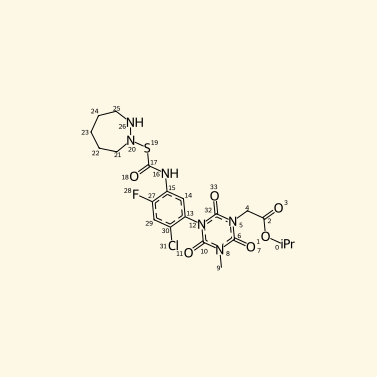 CC(C)OC(=O)Cn1c(=O)n(C)c(=O)n(-c2cc(NC(=O)SN3CCCCCN3)c(F)cc2Cl)c1=O